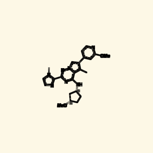 COc1cc(-c2cn3nc(-c4nccn4C)nc(N[C@@H]4CC[C@H](OC)C4)c3c2C)ccn1